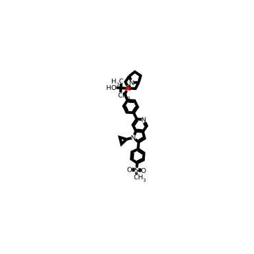 CC(C)(O)CN1C2CCC1CN(Cc1ccc(-c3cc4c(cn3)cc(-c3ccc(S(C)(=O)=O)cc3)n4C3CC3)cc1)C2